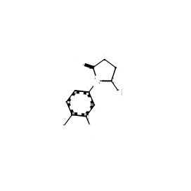 Cc1ccc(N2C(=O)CCC2C(C)C)cc1F